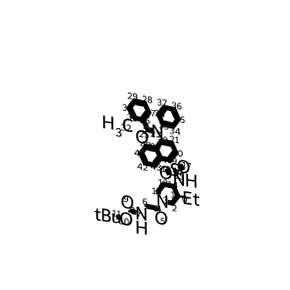 CC[C@H]1CN(C(=O)CNC(=O)OC(C)(C)C)CC[C@H]1NS(=O)(=O)c1ccc(N(C(=O)c2ccccc2C)c2ccccc2)c2ccccc12